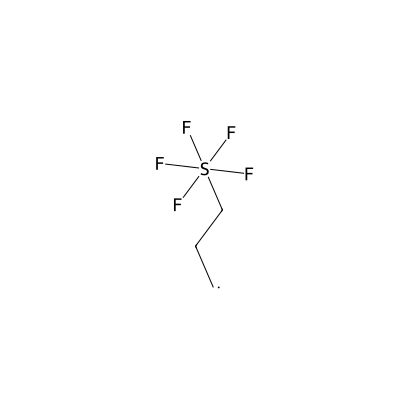 [CH2]CCS(F)(F)(F)(F)F